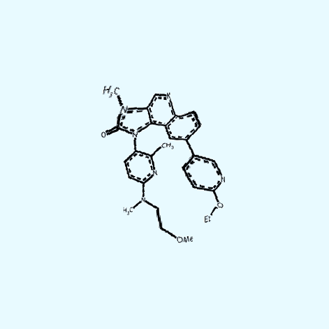 CCOc1ccc(-c2ccc3ncc4c(c3c2)n(-c2ccc(N(C)CCOC)nc2C)c(=O)n4C)cn1